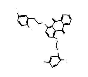 O=C1c2ccccc2C(=O)c2c(NCCc3cc(O)ccc3O)ccc(NCCc3cc(O)ccc3O)c21